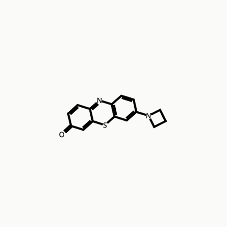 O=c1ccc2nc3ccc(N4CCC4)cc3sc-2c1